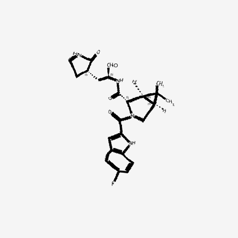 CC1(C)[C@@H]2[C@@H](C(=O)N[C@H](C=O)C[C@@H]3CCNC3=O)N(C(=O)c3cc4cc(F)ccc4[nH]3)C[C@@H]21